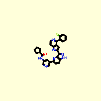 O=C(Nc1cncc(-c2ccc3[nH]nc(-c4cc5c(-c6ccccc6F)nccc5[nH]4)c3n2)c1)C1CCCC1